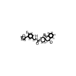 O=C1CC2(CCN(C(=O)NCc3ccc(F)c(-c4cnco4)c3)CC2)N(F)c2ccccc21